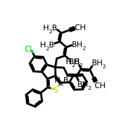 B/C(C#C)=C(B)/C(B)=C(/B)CC1(C/C(B)=C(B)\C(B)=C(\B)C#C)c2cc(Cl)ccc2-c2c(-c3ccccc3)sc(-c3ccccc3)c21